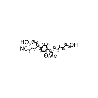 COc1cc(/C(=C/C(=O)O)CCCC#N)ccc1OCCCCCCO